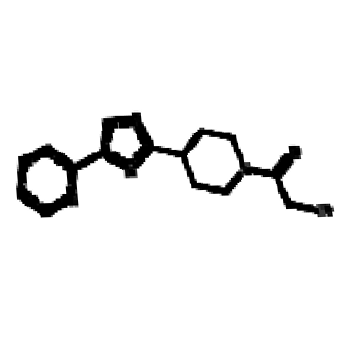 CC(C)CC(=O)N1CCC(c2nc(-c3ccccn3)cs2)CC1